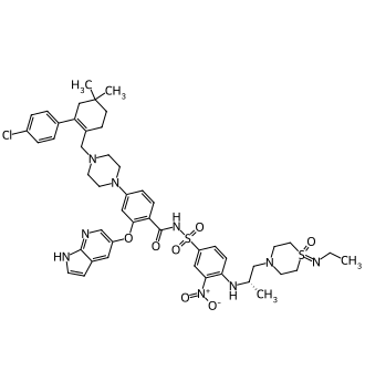 CCN=S1(=O)CCN(C[C@H](C)Nc2ccc(S(=O)(=O)NC(=O)c3ccc(N4CCN(CC5=C(c6ccc(Cl)cc6)CC(C)(C)CC5)CC4)cc3Oc3cnc4[nH]ccc4c3)cc2[N+](=O)[O-])CC1